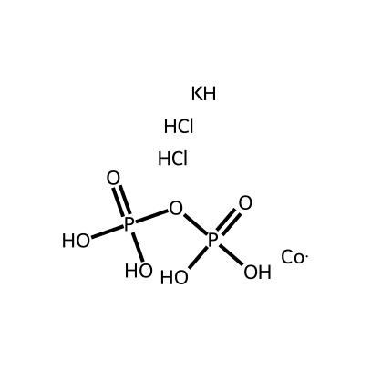 Cl.Cl.O=P(O)(O)OP(=O)(O)O.[Co].[KH]